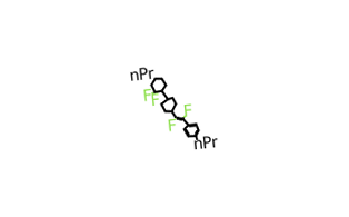 CCCc1ccc(/C(F)=C(\F)C2CCC(C3CCC(CCC)CC3(F)F)CC2)cc1